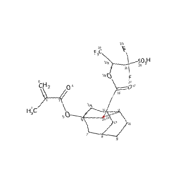 C=C(C)C(=O)OC12CC3CCC(C(C3)C1)C(C(=O)OC(C(F)(F)F)C(F)(F)S(=O)(=O)O)C2